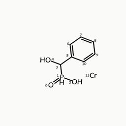 O=[PH](O)C(O)c1ccccc1.[Cr]